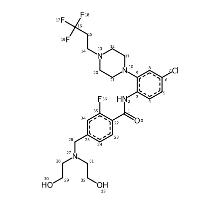 O=C(Nc1ccc(Cl)cc1N1CCN(CCC(F)(F)F)CC1)c1ccc(CN(CCO)CCO)cc1F